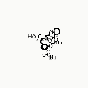 CC(CN[C@@H](Cc1ccc(OC(=O)C(C)(C)C)c(OC(=O)C(C)(C)C)c1)C(=O)O)OC(=O)C1CCCCC1